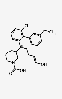 CCc1cccc(-c2c(Cl)cccc2[C@@H](CCC=CO)C2CN(C(=O)O)CCO2)c1